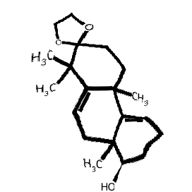 CC12CCC3(OCCO3)C(C)(C)C1=CCC1(C)C2=CCC[C@H]1O